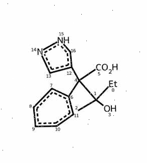 CCC(C)(O)C(C(=O)O)(c1ccccc1)c1cn[nH]c1